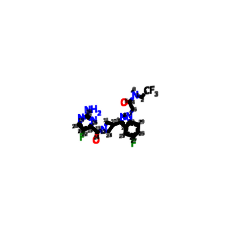 CN(CC(F)(F)F)C(=O)Cn1nc(C2CN(C(=O)c3nc(N)ncc3F)C2)c2cc(F)ccc21